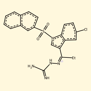 CC/C(=N/NC(=N)N)c1cn(S(=O)(=O)c2ccc3ccccc3c2)c2ccc(Cl)cc12